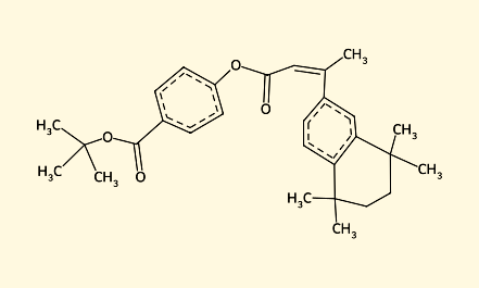 C/C(=C/C(=O)Oc1ccc(C(=O)OC(C)(C)C)cc1)c1ccc2c(c1)C(C)(C)CCC2(C)C